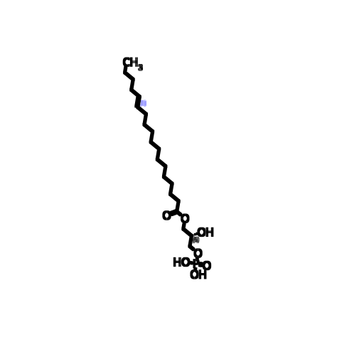 CCCC/C=C/CCCCCCCCCCCC(=O)OC[C@H](O)COP(=O)(O)O